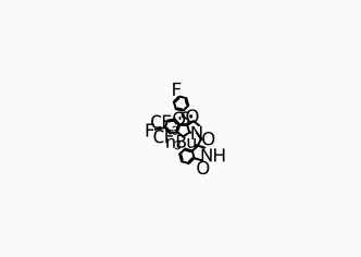 CCCCC1(C(=O)N2CCC3(S(=O)(=O)c4ccc(F)cc4)c4ccc(C(F)(C(F)(F)F)C(F)(F)F)cc4CC23)CNC(=O)c2ccccc21